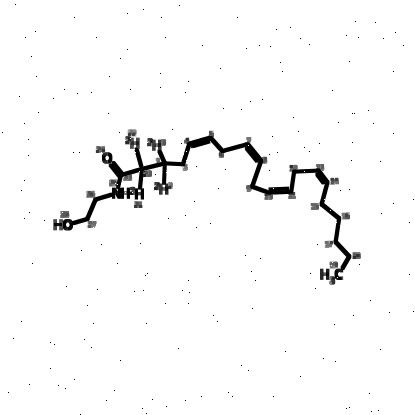 [2H]C([2H])(C/C=C\C/C=C\C/C=C\C/C=C\CCCCC)C([2H])([2H])C(=O)NCCO